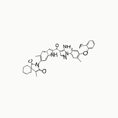 Cc1cc(-n2ncc(C(=O)c3cc4cc(C)c(N5C(=O)C(C)C6(CCCCC6)C5=O)cc4[nH]3)c2N)ccc1Oc1ccccc1F